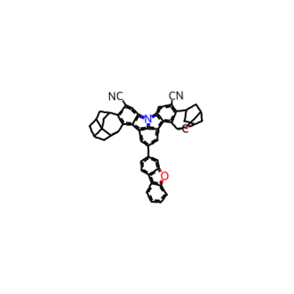 N#Cc1cc2c(c3c1C1CC4CC(C1)CC3C4)c1cc(-c3ccc4c(c3)oc3ccccc34)cc3c4c5c(c(C#N)cc4n2c13)C1CC2CC3CC5CC23C1